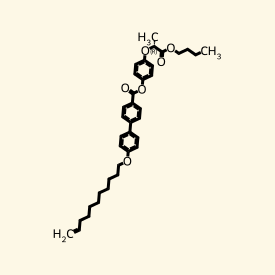 C=CCCCCCCCCCOc1ccc(-c2ccc(C(=O)Oc3ccc(O[C@H](C)C(=O)OCCCC)cc3)cc2)cc1